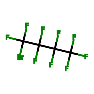 FC(F)(F)C(F)(F)C(F)(F)C(F)(F)Br